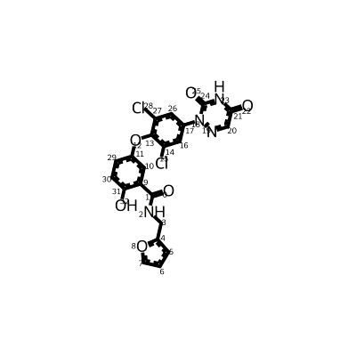 O=C(NCc1ccco1)c1cc(Oc2c(Cl)cc(-n3ncc(=O)[nH]c3=O)cc2Cl)ccc1O